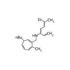 C=C/C(=C\C=C(\C)CC)NCC1=CC(CCCC)C=CC=C1C